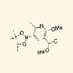 COC(=O)c1cc(B2OC(C)(C)C(C)(C)O2)c(C)nc1OC